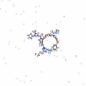 CC(C)NC(=O)N1CCCOc2ccc(cc2)CNc2nc(nc(OCC(F)(F)F)n2)Nc2ccc(C(=O)NCC3(CN4CCCC4)CC3)c(c2)OCCC1